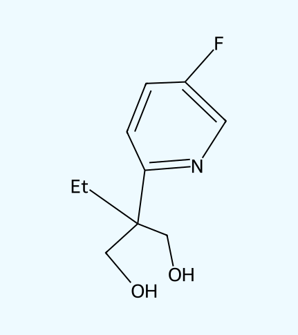 CCC(CO)(CO)c1ccc(F)cn1